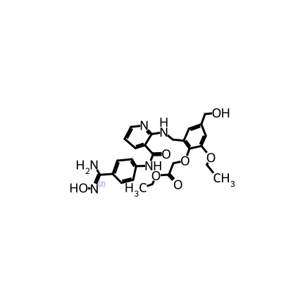 CCOC(=O)COc1c(CNc2ncccc2C(=O)Nc2ccc(/C(N)=N/O)cc2)cc(CO)cc1OCC